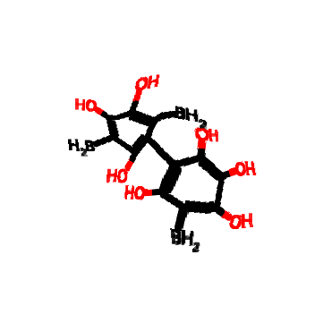 Bc1c(O)c(O)c(B)c(-c2c(O)c(B)c(O)c(O)c2O)c1O